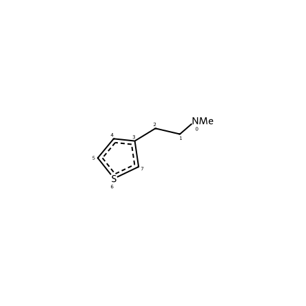 CNCCc1ccsc1